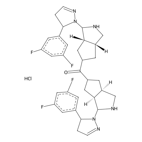 Cl.O=C(C1C[C@H]2CNC(N3N=CCC3c3cc(F)cc(F)c3)[C@H]2C1)C1C[C@H]2CNC(N3N=CCC3c3cc(F)cc(F)c3)[C@H]2C1